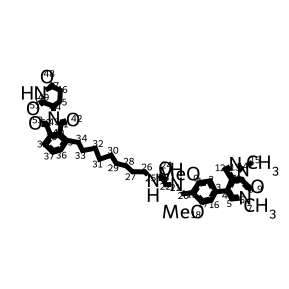 COc1cc(-c2cn(C)c(=O)c3c2cnn3C)cc(OC)c1CNCC(=O)NCCCCCCCCCc1cccc2c1C(=O)N(C1CCC(=O)NC1=O)C2=O